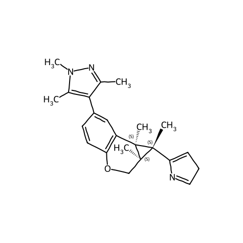 Cc1nn(C)c(C)c1-c1ccc2c(c1)[C@]1(C)[C@](C)(CO2)[C@@]1(C)C1=CCC=N1